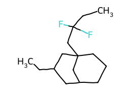 CCC1CC2CCCC(CC(F)(F)CC)(C1)C2